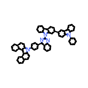 c1ccc(-n2c3ccccc3c3cc(-c4ccc5c6ccccc6n(-c6nc(-c7ccc(-n8c9ccc%10ccccc%10c9c9c%10ccccc%10ccc98)cc7)c7ccccc7n6)c5c4)ccc32)cc1